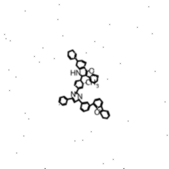 C[C@@H]1C=C(c2nc(-c3ccccc3)cc(-c3cccc(-c4cccc5c6c(oc45)CCC=C6)c3)n2)C=CC1C1NC2=C(C=CC(C3=CCCC=C3)C2)c2oc3c(c21)=CCCC=3